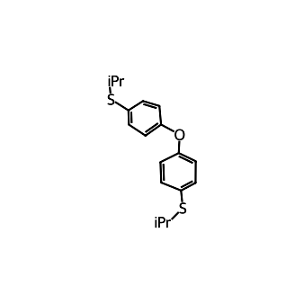 CC(C)Sc1ccc(Oc2ccc(SC(C)C)cc2)cc1